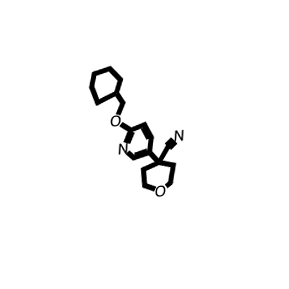 N#CC1(c2ccc(OCC3CCCCC3)nc2)CCOCC1